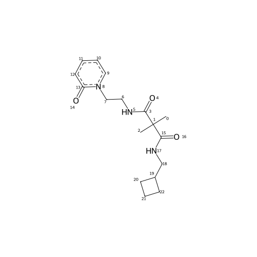 CC(C)(C(=O)NCCn1ccccc1=O)C(=O)NCC1CCC1